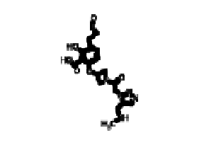 CNCc1cnnn1CC(=O)N1CC(Oc2ccc(CCB=O)c(O)c2C(=O)O)C1